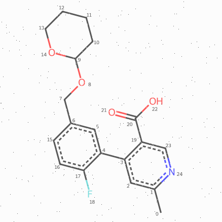 Cc1cc(-c2cc(COC3CCCCO3)ccc2F)c(C(=O)O)cn1